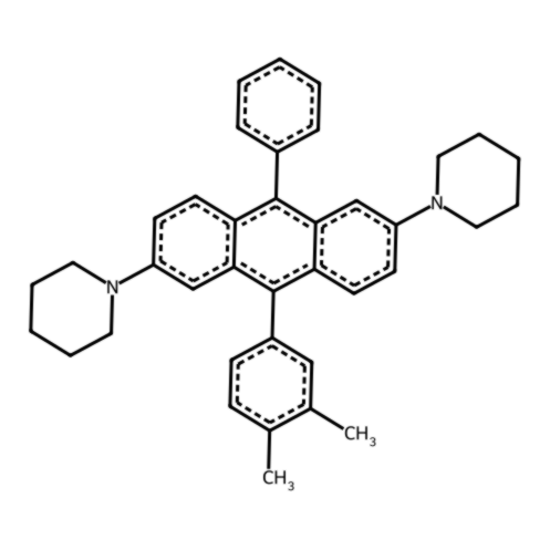 Cc1ccc(-c2c3ccc(N4CCCCC4)cc3c(-c3ccccc3)c3ccc(N4CCCCC4)cc23)cc1C